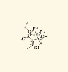 CCOC(=O)C1=C(C)OCC1(O)C(F)(F)F